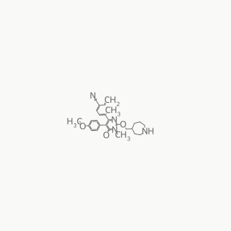 C=C/C(C#N)=C\C=C(/C)c1nc(OCC2CCCNCC2)n(C)c(=O)c1-c1ccc(OC)cc1